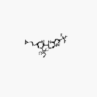 CCS(=O)(=O)c1cc(C=CC2CC2)cnc1-c1ccn2nc(C(F)(F)F)cc2n1